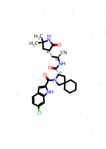 CC1(C)C[C@@H](C[C@@H](C#N)NC(=O)[C@@H]2CC3(CCCCC3)CN2C(=O)c2cc3ccc(Cl)cc3[nH]2)C(=O)N1